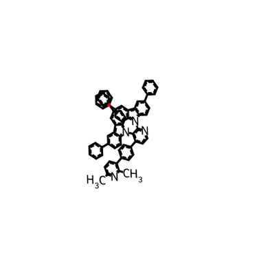 Cc1ccc(-c2ccc(-c3ccnc(-n4c5ccc(-c6ccccc6)cc5c5cc(-c6ccccc6)ccc54)c3-n3c4ccc(-c5ccccc5)cc4c4cc(-c5ccccc5)ccc43)cc2)c(C)n1